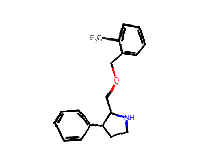 FC(F)(F)c1ccccc1COCC1NCCC1c1ccccc1